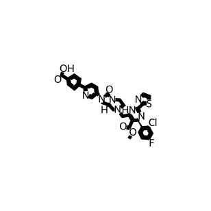 COC(=O)C1=C(CN2CCN3C(=O)N(c4ccc(-c5ccc(C(=O)O)cc5)nc4)C[C@@H]3C2)NC(c2nccs2)=N[C@H]1c1ccc(F)cc1Cl